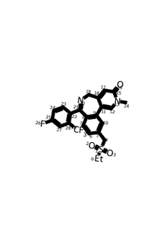 CCS(=O)(=O)Cc1ccc2c(c1)-c1cn(C)c(=O)cc1CN=C2c1ccc(F)cc1C(F)(F)F